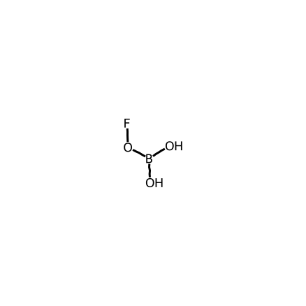 OB(O)OF